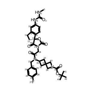 CNC(=O)Nc1ccc2c(c1)CC[C@@]21OC(=O)N(CC(=O)N(Cc2ccc(F)cc2)C2CC3(C2)CN(C(=O)OC(C)(C)C)C3)C1=O